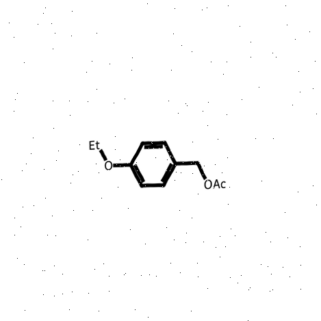 CCOc1ccc(COC(C)=O)cc1